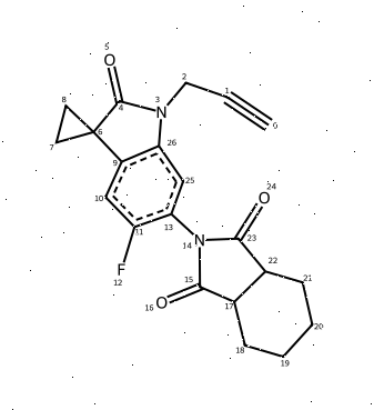 C#CCN1C(=O)C2(CC2)c2cc(F)c(N3C(=O)C4CCCCC4C3=O)cc21